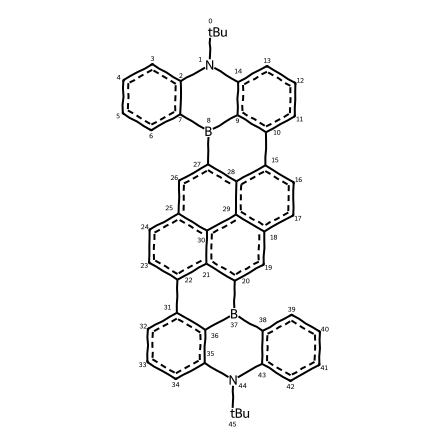 CC(C)(C)N1c2ccccc2B2c3c(cccc31)-c1ccc3cc4c5c(ccc6cc2c1c3c65)-c1cccc2c1B4c1ccccc1N2C(C)(C)C